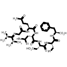 CCCCC(CC)C[C@H](NC(=O)[C@H](CCC(N)=O)NC(=O)CN=C(N(C)C)N(C)C)C(=O)N[C@@H](CC(=O)O)C(=O)N[C@@H](CC(C)C)C(=O)N[C@@H](Cc1ccccc1)C(=O)O